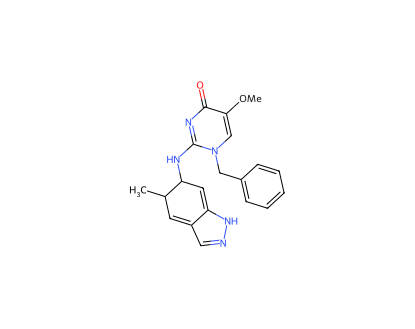 COc1cn(Cc2ccccc2)c(NC2C=c3[nH]ncc3=CC2C)nc1=O